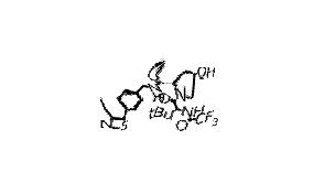 Cc1ncsc1-c1ccc(CNC(=O)[C@@H]2C[C@@H](O)CN2C(=O)[C@@H](NC(=O)C(F)(F)F)C(C)(C)C)cc1